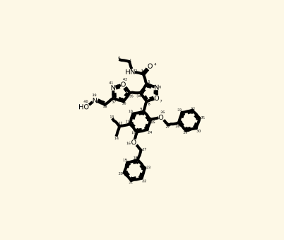 CCNC(=O)c1noc(-c2cc(C(C)C)c(OCc3ccccc3)cc2OCc2ccccc2)c1-c1cc(C=NO)no1